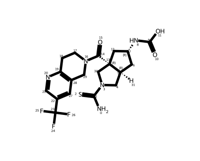 NC(=S)N1C[C@@H]2C[C@@H](NC(=O)O)C[C@]2(C(=O)N2CCc3ncc(C(F)(F)F)cc3C2)C1